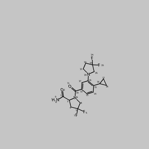 NC(=O)C1CC(F)(F)CN1C(=O)c1ccc(C2CC2)c(N2CCC(F)(F)C2)c1